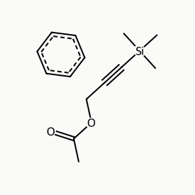 CC(=O)OCC#C[Si](C)(C)C.c1ccccc1